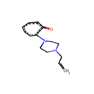 C=CCN1CCN(c2cccccc2=O)CC1